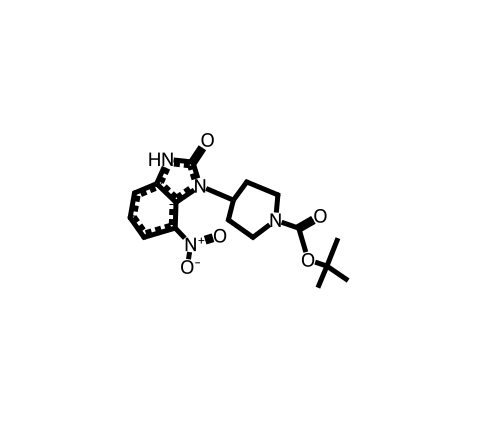 CC(C)(C)OC(=O)N1CCC(n2c(=O)[nH]c3cccc([N+](=O)[O-])c32)CC1